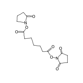 O=C(CCCCCC(=O)ON1C(=O)CCC1=O)ON1CCCC1=O